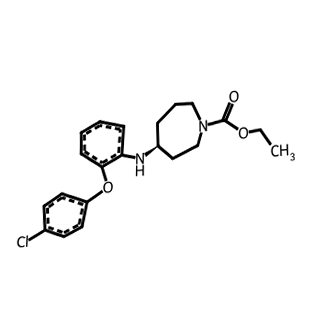 CCOC(=O)N1CCC[C@H](Nc2ccccc2Oc2ccc(Cl)cc2)CC1